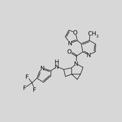 Cc1ccnc(C(=O)N2CC3CC34CC(Nc3ccc(C(F)(F)F)cn3)C24)c1-c1ncco1